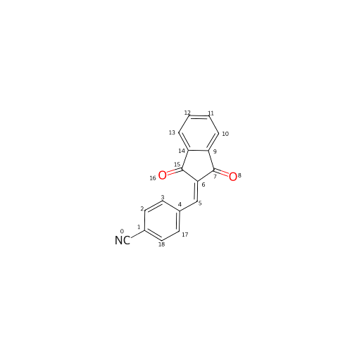 N#Cc1ccc(C=C2C(=O)c3ccccc3C2=O)cc1